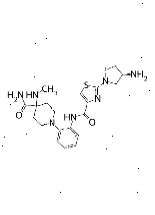 CNC1(C(N)=O)CCN(c2ccccc2NC(=O)c2csc(N3CC[C@@H](N)C3)n2)CC1